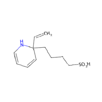 C=CC1(CCCCS(=O)(=O)O)C=CC=CN1